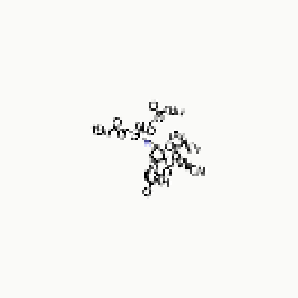 COC1C(OP(OCCC#N)N(C(C)C)C(C)C)[C@@H](/C=C/P(=O)(OCOC(=O)C(C)(C)C)OCOC(=O)C(C)(C)C)C[C@H]1n1ccc(=O)[nH]c1=O